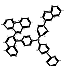 c1ccc(-c2ccc(N(c3ccc(-c4ccc5ccccc5c4)cc3)c3ccc(-c4c(-c5cc6ccccc6c6ccccc56)ccc5ccccc45)cc3)cc2)cc1